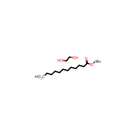 CCCCOC(=O)CCCCCCCCCCC(=O)O.OCCO